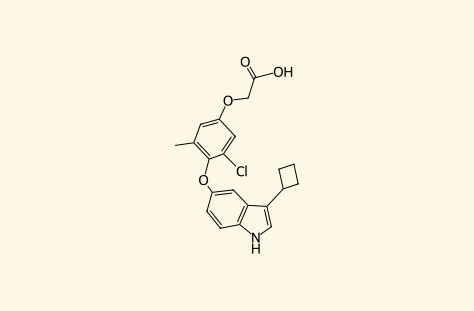 Cc1cc(OCC(=O)O)cc(Cl)c1Oc1ccc2[nH]cc(C3CCC3)c2c1